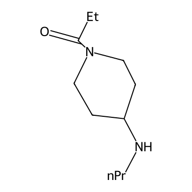 CCCNC1CCN(C(=O)CC)CC1